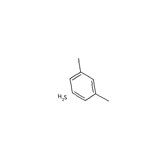 Cc1cccc(C)c1.S